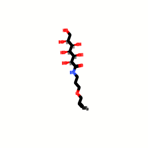 C=CCOCCCNC(=O)[C@H](O)[C@H](O)[C@H](O)[C@@H](O)[C@H](O)CO